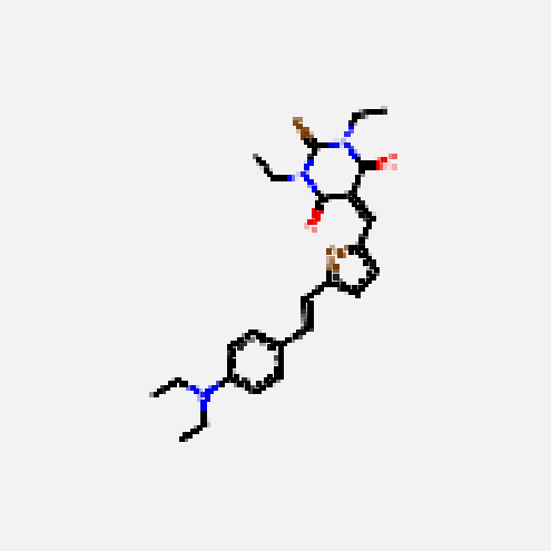 CCN1C(=O)C(=Cc2ccc(/C=C/c3ccc(N(CC)CC)cc3)s2)C(=O)N(CC)C1=S